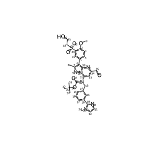 COc1ccc(-c2c(C)nn3c(N(Cc4cccc(-c5nccn5C)c4)C(=O)OC(C)(C)C)cc(C=O)nc23)cc1S(=O)(=O)CCO